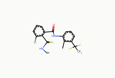 Cc1c(NC(=O)c2cccc(Cl)c2C(=S)NC(C)C)cccc1C(F)(F)C(F)(F)F